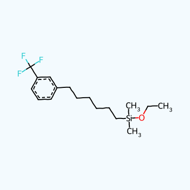 CCO[Si](C)(C)CCCCCCc1cccc(C(F)(F)F)c1